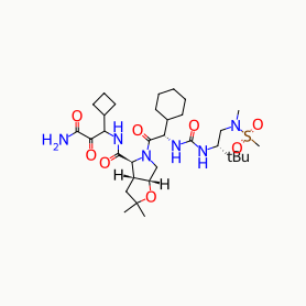 CN(C[C@@H](NC(=O)N[C@H](C(=O)N1C[C@@H]2OC(C)(C)C[C@@H]2[C@H]1C(=O)NC(C(=O)C(N)=O)C1CCC1)C1CCCCC1)C(C)(C)C)S(C)(=O)=O